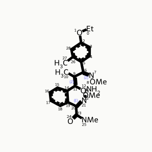 CCOc1ccc(C(=N/OC)/C(C)=C(\ON)c2ccccc2/C(=N\OC)C(=O)NC)c(C)c1